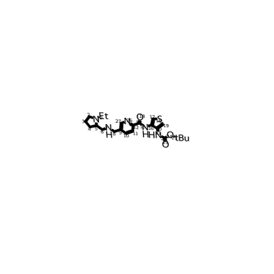 CCN1CCCC1CNCc1ccc(C(=O)Nc2cscc2NC(=O)OC(C)(C)C)nc1